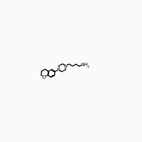 NCCCCN1CCN(c2ccc3c(c2)CCCO3)CC1